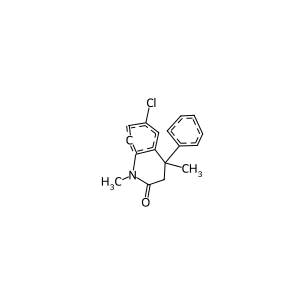 CN1C(=O)CC(C)(c2ccccc2)c2cc(Cl)ccc21